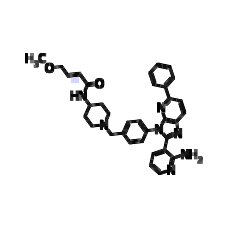 COC/C=C/C(=O)NC1CCN(Cc2ccc(-n3c(-c4cccnc4N)nc4ccc(-c5ccccc5)nc43)cc2)CC1